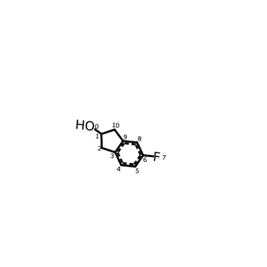 OC1Cc2ccc(F)cc2C1